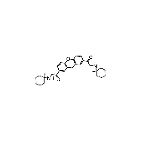 CC1(NCC(=O)c2ccc3c(c2)Cc2cc(C(=O)CNC4(C)CCCCC4)ccc2O3)CCCCC1